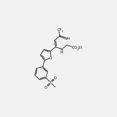 CCOC(=O)CN/C(=C\C(=N)C(F)(F)F)c1ccc(-c2cccc(S(C)(=O)=O)c2)o1